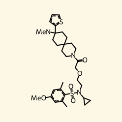 CNC1(c2cccs2)CCC2(CCN(C(=O)COCCN(C3CC3)S(=O)(=O)c3c(C)cc(OC)cc3C)CC2)CC1